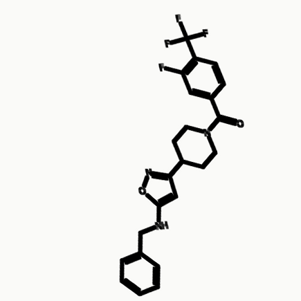 O=C(c1ccc(C(F)(F)F)c(F)c1)N1CCC(c2cc(NCc3ccccc3)on2)CC1